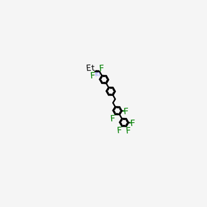 CC/C(F)=C(\F)c1ccc(-c2ccc(CCc3cc(F)c(-c4cc(F)c(F)c(F)c4)c(F)c3)cc2)cc1